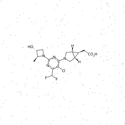 C[C@H]1[C@H](O)CN1c1nc(C(F)F)c(Cl)c(N2C[C@@H]3[C@@H](CC(=O)O)[C@@H]3C2)n1